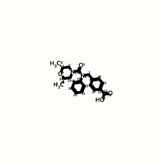 C[C@@H]1CN(C(=O)N(Cc2ccc(C(=O)O)cc2)c2ccccc2)C[C@H](C)O1